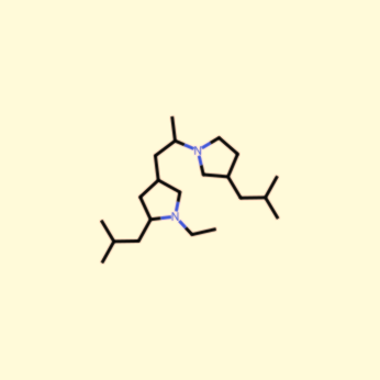 CCN1CC(CC(C)N2CCC(CC(C)C)C2)CC1CC(C)C